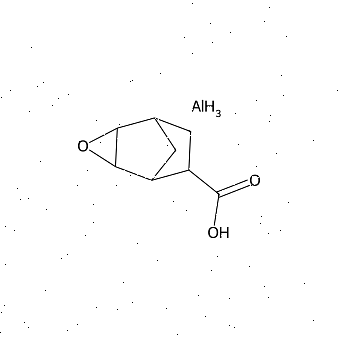 O=C(O)C1CC2CC1C1OC21.[AlH3]